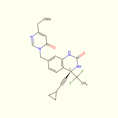 COCc1cc(=O)n(Cc2ccc3c(c2)NC(=O)N[C@]3(C#CC2CC2)C(C)(F)F)cn1